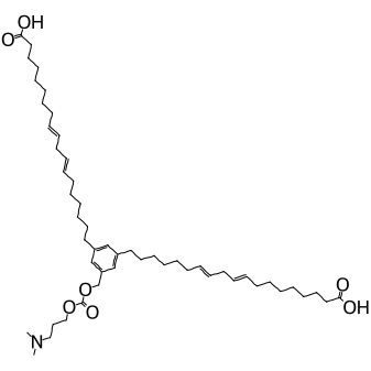 CN(C)CCCOC(=O)OCc1cc(CCCCCCC=CCC=CCCCCCCCC(=O)O)cc(CCCCCCC=CCC=CCCCCCCCC(=O)O)c1